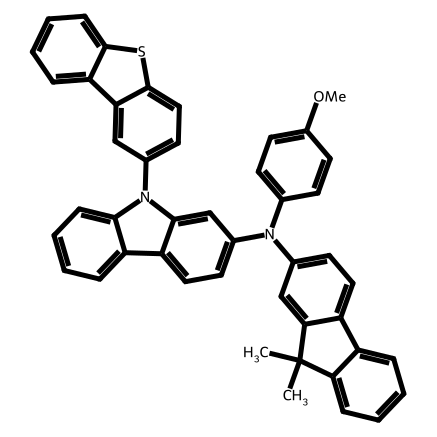 COc1ccc(N(c2ccc3c(c2)C(C)(C)c2ccccc2-3)c2ccc3c4ccccc4n(-c4ccc5sc6ccccc6c5c4)c3c2)cc1